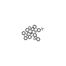 CC(C)(C)c1ccc(N2c3cc4c(oc5ccccc54)c4c3B(c3c2ccc2oc5ccccc5c32)N2c3ccccc3[Si]3(c5ccccc5-c5ccccc53)c3cccc-4c32)c(-c2ccccc2)c1